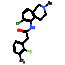 CC(=O)N1CCc2c(ccc(Cl)c2NC(=O)Cc2cccc(C(F)(F)F)c2F)C1